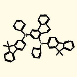 CC1(C)c2ccccc2-c2ccc(N(c3ccccc3)c3cc(N(c4ccccc4)c4ccc5c(c4)C(C)(C)c4ccccc4-5)c4ccc5ccccc5c4c3)cc21